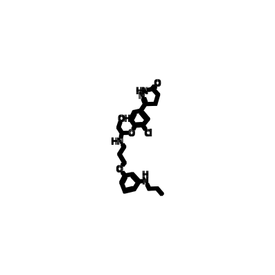 CCCNc1cccc(OCCCNC(CO)Oc2ccc(C3=NNC(=O)CC3)cc2Cl)c1